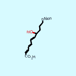 CCCCCCCCCCCCC(O)C=CC=CC=CC(=O)O